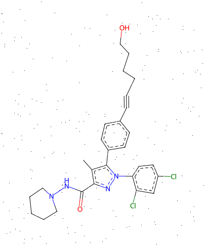 Cc1c(C(=O)NN2CCCCC2)nn(-c2ccc(Cl)cc2Cl)c1-c1ccc(C#CCCCCO)cc1